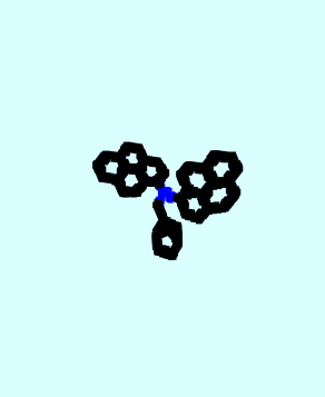 C1=CC2CC1CC2CN(c1ccc2ccc3cccc4ccc1c2c34)c1ccc2ccc3cccc4ccc1c2c34